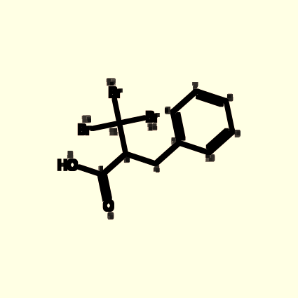 O=C(O)C(Cc1ccccc1)C(Br)(Br)Br